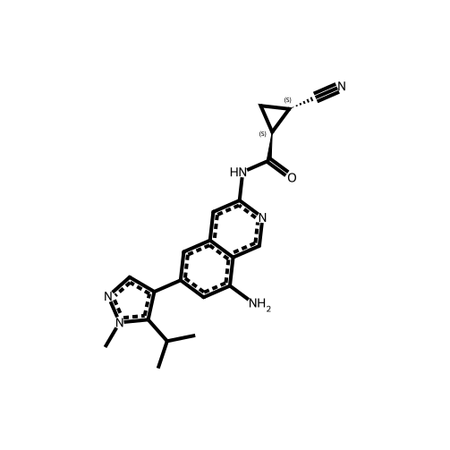 CC(C)c1c(-c2cc(N)c3cnc(NC(=O)[C@H]4C[C@@H]4C#N)cc3c2)cnn1C